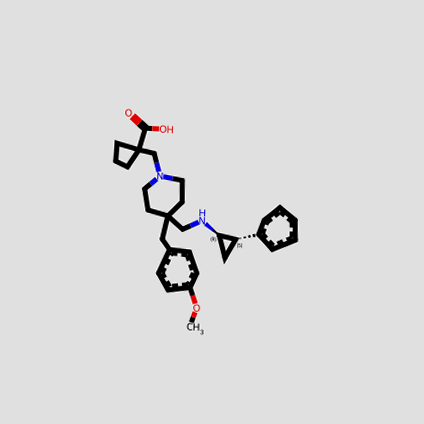 COc1ccc(CC2(CN[C@@H]3C[C@H]3c3ccccc3)CCN(CC3(C(=O)O)CCC3)CC2)cc1